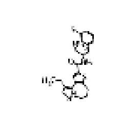 CCc1cnn2c1-c1cc(C(=O)NC(CN)Cc3cccc(F)c3)sc1CCC2